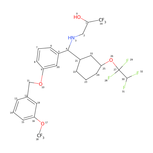 OC(CNC(c1cccc(OCc2cccc(OC(F)(F)F)c2)c1)C1CCCC(OC(F)(F)C(F)F)C1)C(F)(F)F